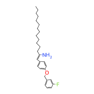 CCCCCCCCCCCCCC(N)=Cc1ccc(OCc2cccc(F)c2)cc1